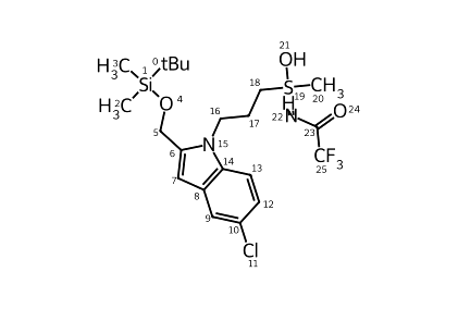 CC(C)(C)[Si](C)(C)OCc1cc2cc(Cl)ccc2n1CCC[SH](C)(O)=NC(=O)C(F)(F)F